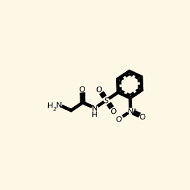 NCC(=O)NS(=O)(=O)c1ccccc1[N+](=O)[O-]